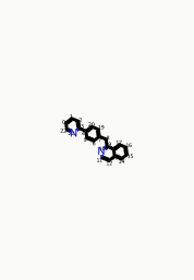 c1ccc(-c2ccc(Cc3nccc4ccccc34)cc2)nc1